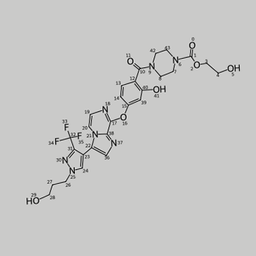 O=C(OCCO)N1CCN(C(=O)c2ccc(Oc3nccn4c(-c5cn(CCCO)nc5C(F)(F)F)cnc34)cc2O)CC1